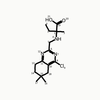 CCC(C)(NCc1nc(Cl)c2c(n1)CCC(C)(C)C2)C(=O)O